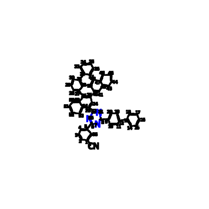 N#Cc1cccc(-c2nc(-c3ccc(-c4ccccc4)cc3)nc(-c3ccc(-c4cccc(-c5ccccc5)c4-c4ccc5ccccc5c4)c4ccccc34)n2)c1